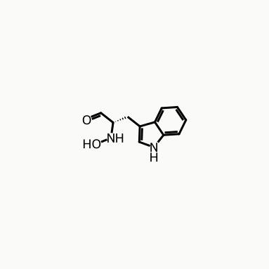 O=C[C@H](Cc1c[nH]c2ccccc12)NO